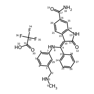 CNCc1cccc(NC(=C2C(=O)Nc3cc(C(N)=O)ccc32)c2ccccc2)c1.O=C(O)C(F)(F)F